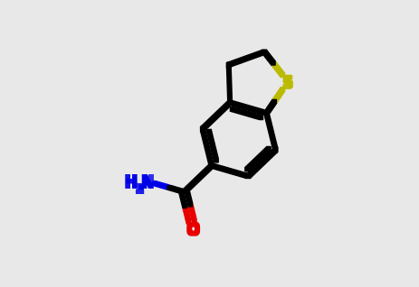 NC(=O)c1ccc2c(c1)CCS2